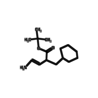 CC(C)(C)OC(=O)C(C=CN)CC1CCCCC1